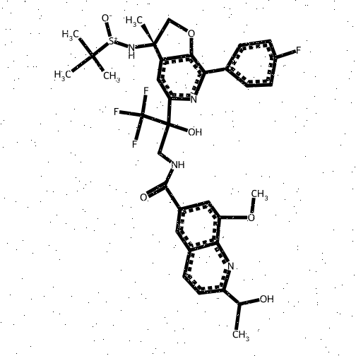 COc1cc(C(=O)NCC(O)(c2cc3c(c(-c4ccc(F)cc4)n2)OC[C@@]3(C)N[S+]([O-])C(C)(C)C)C(F)(F)F)cc2ccc(C(C)O)nc12